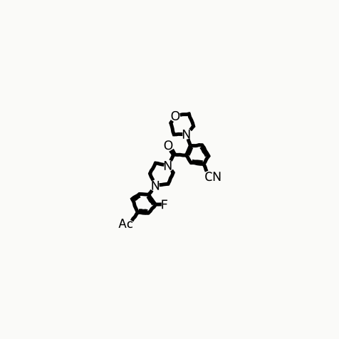 CC(=O)c1ccc(N2CCN(C(=O)c3cc(C#N)ccc3N3CCOCC3)CC2)c(F)c1